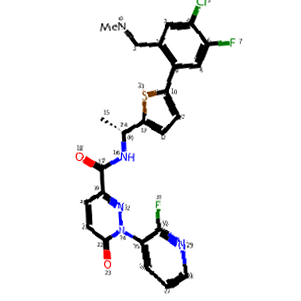 CNCc1cc(Cl)c(F)cc1-c1ccc([C@@H](C)NC(=O)c2ccc(=O)n(-c3cccnc3F)n2)s1